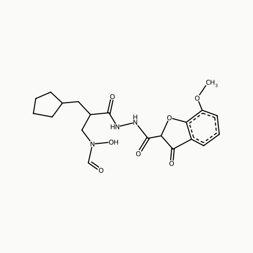 COc1cccc2c1OC(C(=O)NNC(=O)C(CC1CCCC1)CN(O)C=O)C2=O